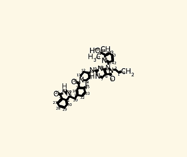 C=CCn1c(=O)c2cnc(NC3CCN(C(=O)c4cc(Cc5n[nH]c(=O)c6ccccc56)ccc4F)CC3)nc2n1-c1cccc(C(C)(C)O)n1